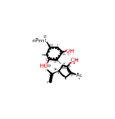 C=C(C)[C@@H]1CC(C(C)=O)=C(O)[C@H]1c1c(O)cc(CCCCC)cc1O